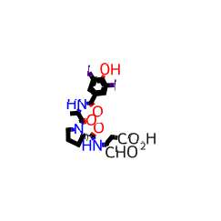 CC(NC(=O)c1cc(I)c(O)c(I)c1)C(=O)N1CCC[C@H]1C(=O)NC(C=O)CC(=O)O